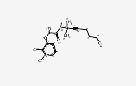 CCC(Oc1cccc(Cl)c1Cl)C(=O)NC(C)(C)C#CCCCCl